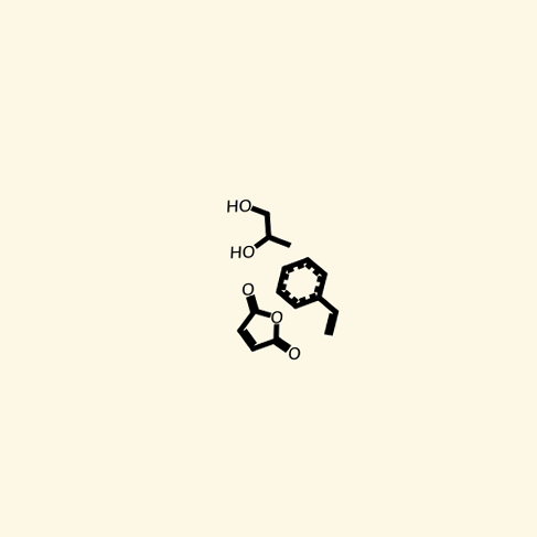 C=Cc1ccccc1.CC(O)CO.O=C1C=CC(=O)O1